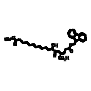 CC(C)(C)OC(=O)CCCCCCCCCCC(O)NC[C@H](CCC(=O)OCC1c2ccccc2-c2ccccc21)C(=O)O